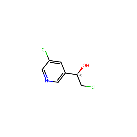 O[C@@H](CCl)c1cncc(Cl)c1